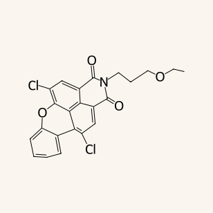 CCOCCCn1c(=O)c2cc(Cl)c3oc4ccccc4c4c(Cl)cc(c1=O)c2c34